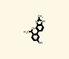 CCCc1ccc(C(C)O)c(-c2ccc3[nH]c(C)nc3c2)c1